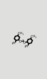 CC1CCC(C(C)C)C(OOOC2CC(C)CCC2C(C)C)C1